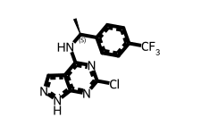 C[C@H](Nc1nc(Cl)nc2[nH]ncc12)c1ccc(C(F)(F)F)cc1